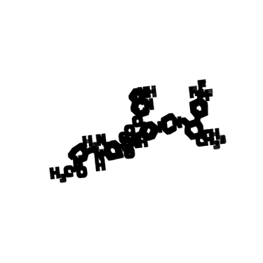 CC(=O)N1CCCC(CNc2ccc(S(=O)(=O)NC(=O)c3ccc(N4CCN(CC5=C(c6ccc(C(F)(F)F)cc6)CC(C)(C)CC5)CC4)cc3Oc3cnc4[nH]ccc4c3)cc2N)C1